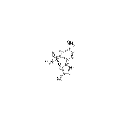 N#Cc1cnn(-c2ccc(N)cc2S(N)(=O)=O)c1